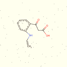 C=CNc1ccccc1C(=O)CC(=O)O